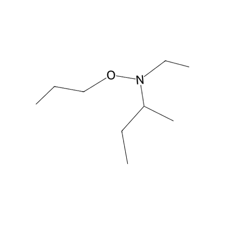 CCCON(CC)C(C)CC